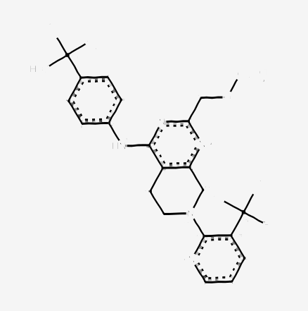 COCc1nc2c(c(Nc3ccc(C(C)(C)C)cc3)n1)CCN(c1ncccc1C(F)(F)F)C2.Cl